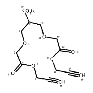 C#CCOC(=O)COCC(COCC(=O)OCC#C)C(=O)O